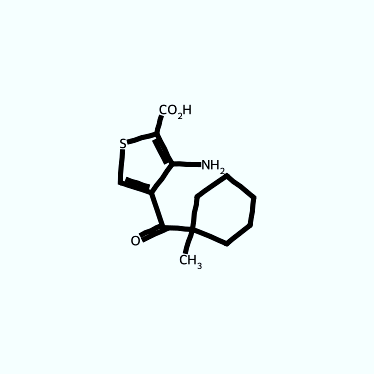 CC1(C(=O)c2csc(C(=O)O)c2N)CCCCC1